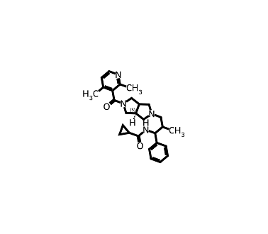 Cc1ccnc(C)c1C(=O)N1CC2CN(CC(C)C(NC(=O)C3CC3)c3ccccc3)C[C@H]2C1